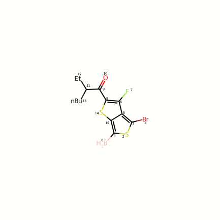 Bc1sc(Br)c2c(F)c(C(=O)C(CC)CCCC)sc12